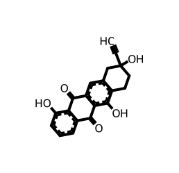 C#CC1(O)CCc2c(cc3c(c2O)C(=O)c2cccc(O)c2C3=O)C1